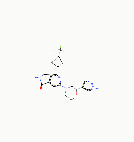 CN1Cc2c(cc(N3CCO[C@H](c4cnn(C)c4)C3)nc2[C@H]2C[C@H](C(F)(F)F)C2)C1=O